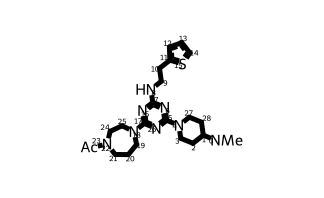 CNC1CCN(c2nc(NCCc3cccs3)nc(N3CCCN(C(C)=O)CC3)n2)CC1